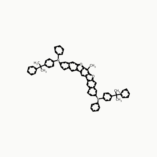 Cc1c2oc3cc4cc(N(c5ccccc5)c5ccc(C(C)(C)c6ccccc6)cc5)ccc4cc3c2cc2c1oc1cc3cc(N(c4ccccc4)c4ccc(C(C)(C)c5ccccc5)cc4)ccc3cc12